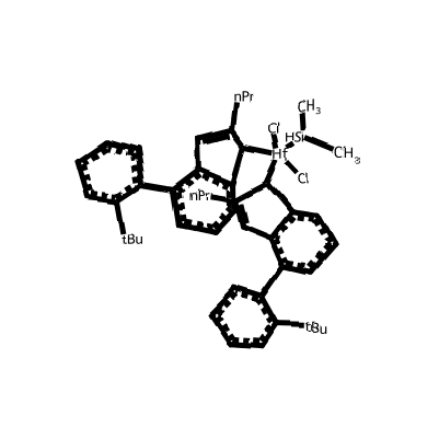 CCCC1=Cc2c(-c3ccccc3C(C)(C)C)cccc2[CH]1[Hf]([Cl])([Cl])([CH]1C(CCC)=Cc2c(-c3ccccc3C(C)(C)C)cccc21)[SiH](C)C